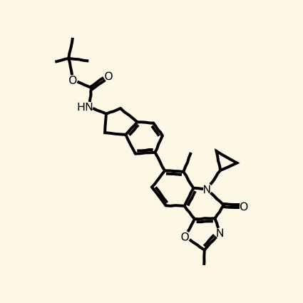 Cc1nc2c(=O)n(C3CC3)c3c(C)c(-c4ccc5c(c4)CC(NC(=O)OC(C)(C)C)C5)ccc3c2o1